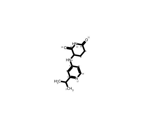 CC(C)c1cc(NC2CCC(=O)NC2=O)ccn1